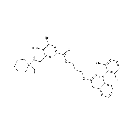 CCC1(NCc2cc(C(=O)OCCCOC(=O)Cc3ccccc3Nc3c(Cl)cccc3Cl)cc(Br)c2N)CCCCC1